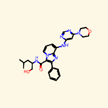 CC(C)CC(CO)NC(=O)c1c(-c2ccccc2)nc2c(Nc3cc(N4CCOCC4)ncn3)cccn12